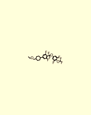 CCOCC1CCC(c2cc(F)c(C(F)(F)Oc3cc(F)c(OC(F)F)c(F)c3)c(F)c2)CC1